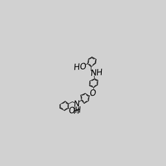 Oc1ccccc1CNc1ccc(Oc2ccc(NCc3ccccc3O)cc2)cc1